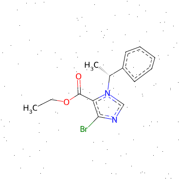 CCOC(=O)c1c(Br)ncn1[C@H](C)c1ccccc1